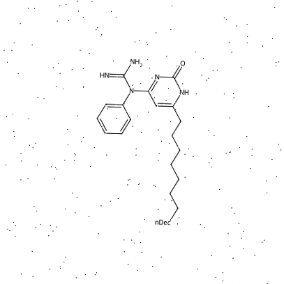 CCCCCCCCCCCCCCCCCc1cc(N(C(=N)N)c2ccccc2)nc(=O)[nH]1